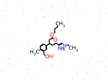 CCCCOC(=O)CC(CCc1cn(CC)nn1)c1ccc(C)c(CO)c1